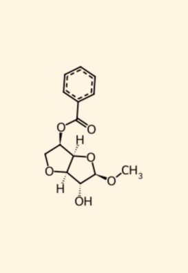 CO[C@@H]1O[C@H]2[C@H](OC[C@H]2OC(=O)c2ccccc2)[C@H]1O